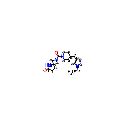 O=C1CCC2(CN(C(=O)N3CCC(Cc4cnn(CC(F)(F)F)c4)CC3)C2)N1